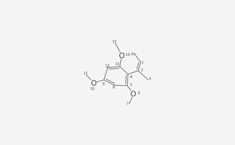 [CH2]/C=C(/C)c1c(OC)cc(OC)cc1OC